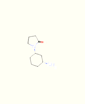 N[C@H]1CCC[C@@H](N2CCCC2=O)C1